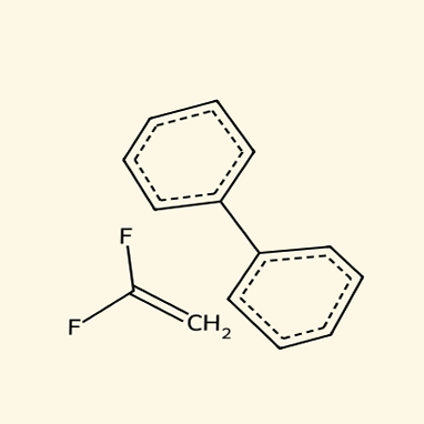 C=C(F)F.c1ccc(-c2ccccc2)cc1